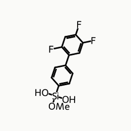 CO[Si](O)(O)c1ccc(-c2cc(F)c(F)cc2F)cc1